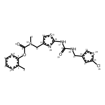 Cc1nccnc1OC(=O)N(C)Cc1csc(NC(=O)NCc2csc(Cl)c2)n1